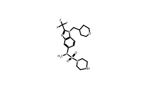 CN(c1ccc2c(c1)nc(C(F)(F)F)n2CC1CCOCC1)S(=O)(=O)N1CCNCC1